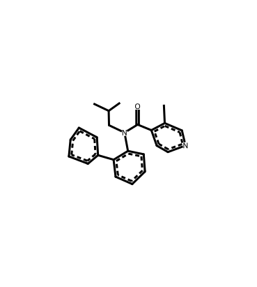 Cc1cnccc1C(=O)N(CC(C)C)c1ccccc1-c1ccccc1